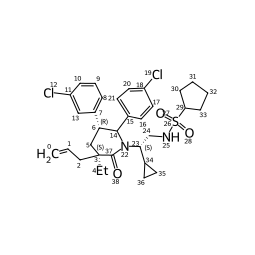 C=CC[C@@]1(CC)C[C@H](c2cccc(Cl)c2)C(c2ccc(Cl)cc2)N([C@H](CNS(=O)(=O)C2CCCC2)C2CC2)C1=O